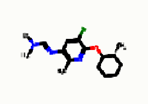 CCN(C)/C=N/c1cc(Br)c(O[C@@H]2CCCC[C@H]2C)nc1C